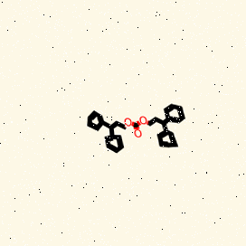 O=C(OCCC(c1ccccc1)c1ccccc1)OCCC(c1ccccc1)c1ccccc1